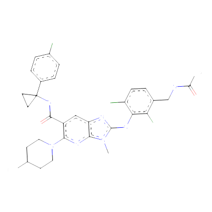 Cn1c(Nc2c(Cl)ccc(CNC(=O)C(C)(C)C)c2Cl)nc2cc(C(=O)NC3(c4ccc(F)cc4)CC3)c(N3CCC(C(F)(F)F)CC3)nc21